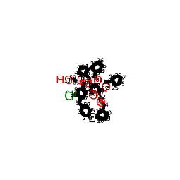 CCc1ccc(Cc2cc([C@@H]3O[C@H](COCc4ccccc4)[C@@H](OCc4ccccc4)[C@H](OCc4ccccc4)[C@H]3OCc3ccccc3)c(COCCO)cc2Cl)cc1